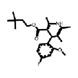 COc1cc(F)ccc1C1C(C)=C(C)NC(C)=C1C(=O)OCCC(C)(C)C